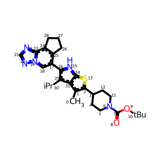 Cc1c(C2CCN(C(=O)OC(C)(C)C)CC2)sc2[nH]c(-c3cn4ncnc4c4c3CCC4)c(C(C)C)c12